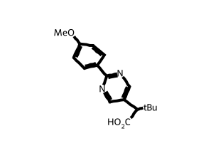 COc1ccc(-c2ncc(C(C(=O)O)C(C)(C)C)cn2)cc1